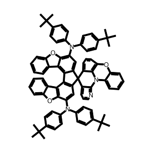 CC(C)(C)c1ccc(N(c2ccc(C(C)(C)C)cc2)c2cc3c(c4c2oc2ccccc24)-c2c(cc(N(c4ccc(C(C)(C)C)cc4)c4ccc(C(C)(C)C)cc4)c4oc5ccccc5c24)C32c3cccnc3N3c4ccccc4Oc4cccc2c43)cc1